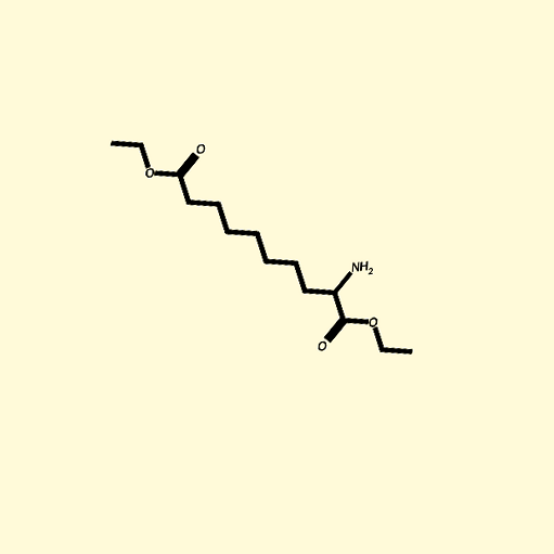 CCOC(=O)CCCCCCCC(N)C(=O)OCC